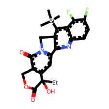 CCC1(O)C(=O)OCc2c1cc1n(c2=O)Cc2c-1nc1ccc(F)c(F)c1c2[Si](C)(C)C